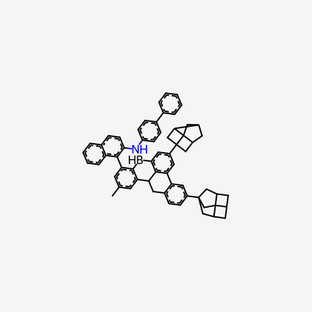 Cc1cc(-c2c(Nc3ccc(-c4ccccc4)cc3)ccc3ccccc23)c2c(c1)C1Cc3ccc(C45CC6CC7CC(C4)C76C5)cc3-c3cc(C45CC6CC7CC64C7C5)cc(c31)B2